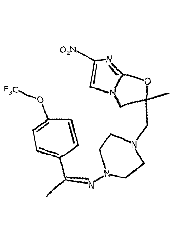 CC(=NN1CCN(CC2(C)Cn3cc([N+](=O)[O-])nc3O2)CC1)c1ccc(OC(F)(F)F)cc1